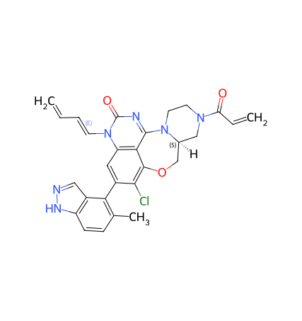 C=C/C=C/n1c(=O)nc2c3c(c(Cl)c(-c4c(C)ccc5[nH]ncc45)cc31)OC[C@@H]1CN(C(=O)C=C)CCN21